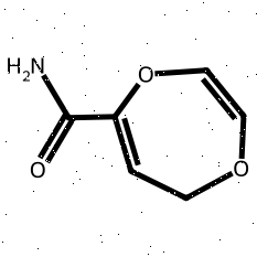 NC(=O)C1=CCOC=CO1